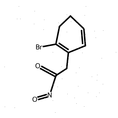 O=NC(=O)CC1=C(Br)CCC=C1